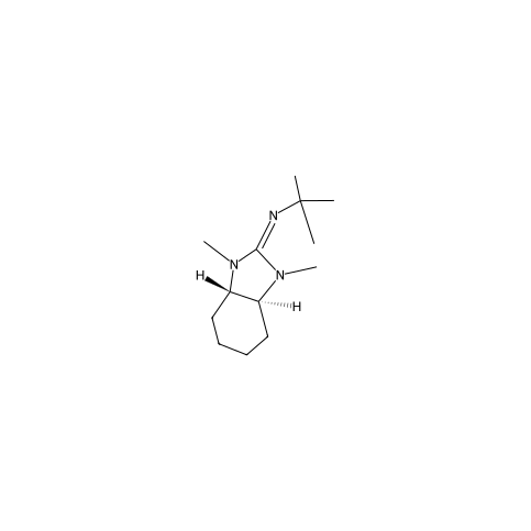 CN1C(=NC(C)(C)C)N(C)[C@H]2CCCC[C@@H]21